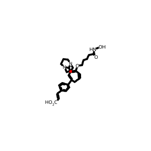 O=C(O)/C=C/c1ccc(C2=CC(C3N4CCCN3CCC4)=C(OCCCCC(=O)NO)C#CC2)cc1